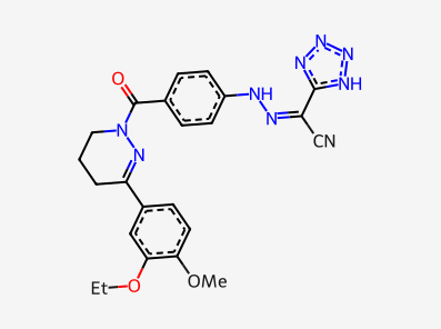 CCOc1cc(C2=NN(C(=O)c3ccc(NN=C(C#N)c4nnn[nH]4)cc3)CCC2)ccc1OC